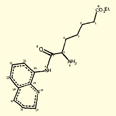 CCOC(=O)CCCCC(N)C(=O)Nc1cccc2cccnc12